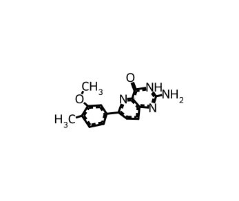 COc1cc(-c2ccc3nc(N)[nH]c(=O)c3n2)ccc1C